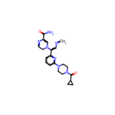 C=N/C=C(/c1cccc(N2CCN(C(=O)C3CC3)CC2)n1)N1C=C(C(N)=O)N=CC1